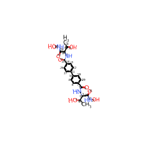 C[C@@H](O)[C@H](NC(=O)c1ccc(-c2ccc(C(=O)N[C@@H](C(=O)NO)[C@@H](C)O)cc2)cc1)C(=O)NO